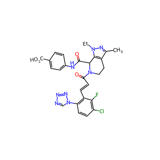 CCn1nc(C)c2c1C(C(=O)Nc1ccc(C(=O)O)cc1)N(C(=O)/C=C/c1c(-n3cnnn3)ccc(Cl)c1F)CC2